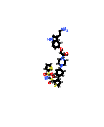 NCCc1c[nH]c2ccc(OCC(=O)N3CCN(c4ccc(-c5ccsc5S(=O)(=O)NS(=O)(=O)c5cccs5)cc4)CC3)cc12